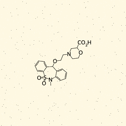 CN1c2ccccc2C(OCCN2CCOC(C(=O)O)C2)c2ccccc2S1(=O)=O